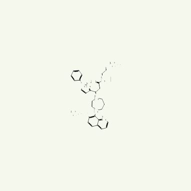 COCCNC(=O)CC(c1ccn(-c2ccccc2)n1)N1CCCN(c2c(OC)ccc3cccnc23)CC1